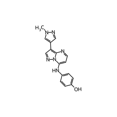 Cn1cc(-c2cnn3c(Nc4ccc(O)cc4)ccnc23)cn1